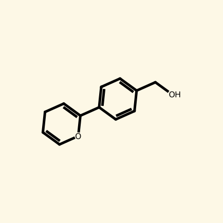 OCc1ccc(C2=CCC=CO2)cc1